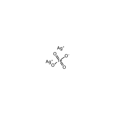 O=[Te](=O)([O-])[O-].[Ag+].[Ag+]